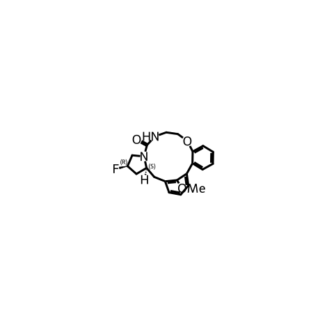 COc1c2cccc1-c1ccccc1OCCNC(=O)N1C[C@H](F)C[C@@H]1C2